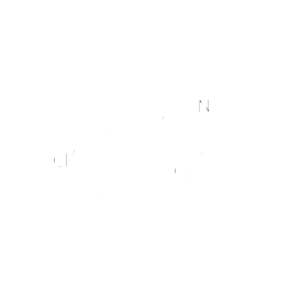 Cc1cc(Cl)cc2c1OCC(N(C)C)C2